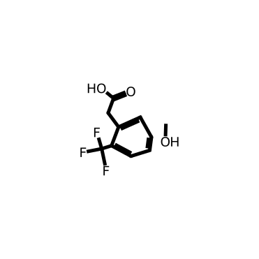 CO.O=C(O)Cc1ccccc1C(F)(F)F